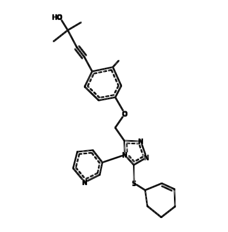 Cc1cc(OCc2nnc(SC3C=CCCC3)n2-c2cccnc2)ccc1C#CC(C)(C)O